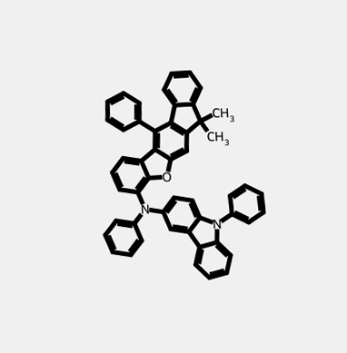 CC1(C)c2ccccc2-c2c1cc1oc3c(N(c4ccccc4)c4ccc5c(c4)c4ccccc4n5-c4ccccc4)cccc3c1c2-c1ccccc1